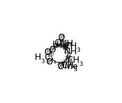 CO[C@@]1(C)CCC(=O)C(C)C(=O)OC[C@H]2OC(=O)N[C@@H]2[C@@H](C)NC[C@H](C)C1